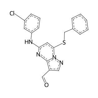 O=Cc1cnn2c(SCc3ccccc3)cc(Nc3cccc(Cl)c3)nc12